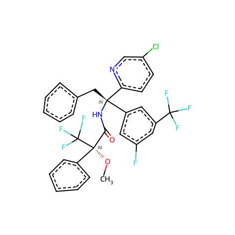 CO[C@](C(=O)N[C@@](Cc1ccccc1)(c1cc(F)cc(C(F)(F)F)c1)c1ccc(Cl)cn1)(c1ccccc1)C(F)(F)F